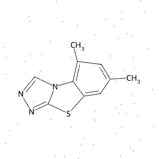 Cc1cc(C)c2c(c1)sc1nncn12